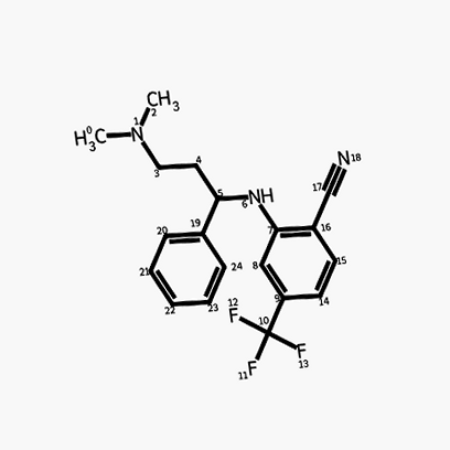 CN(C)CCC(Nc1cc(C(F)(F)F)ccc1C#N)c1ccccc1